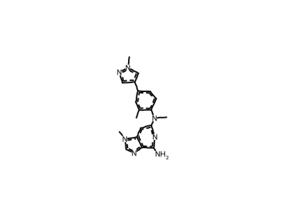 Cc1cc(-c2cnn(C)c2)ccc1N(C)c1cc2c(ncn2C)c(N)n1